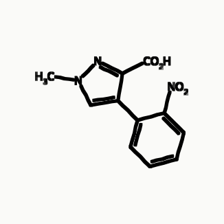 Cn1cc(-c2ccccc2[N+](=O)[O-])c(C(=O)O)n1